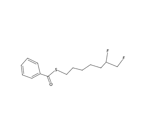 O=C(SCCCCCC(F)CF)c1ccccc1